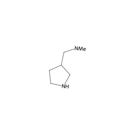 [CH2-][NH2+]CC1CCNC1